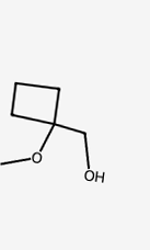 COC1(CO)CCC1